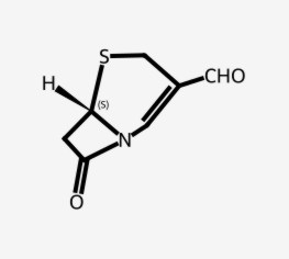 O=CC1=CN2C(=O)C[C@@H]2SC1